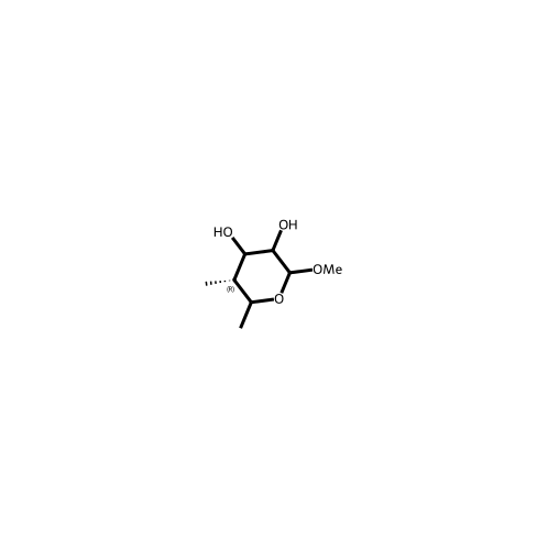 COC1OC(C)[C@H](C)C(O)C1O